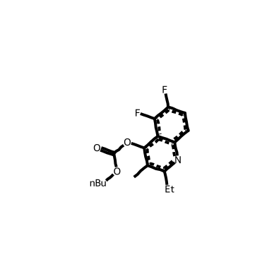 CCCCOC(=O)Oc1c(C)c(CC)nc2ccc(F)c(F)c12